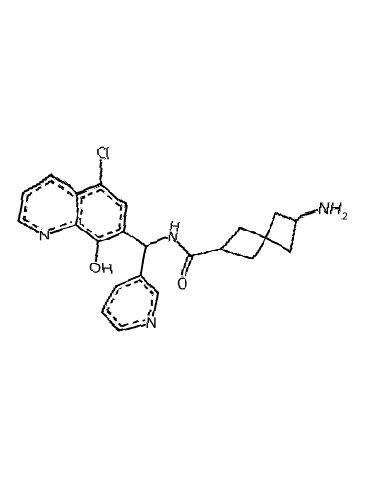 NC1CC2(C1)CC(C(=O)NC(c1cccnc1)c1cc(Cl)c3cccnc3c1O)C2